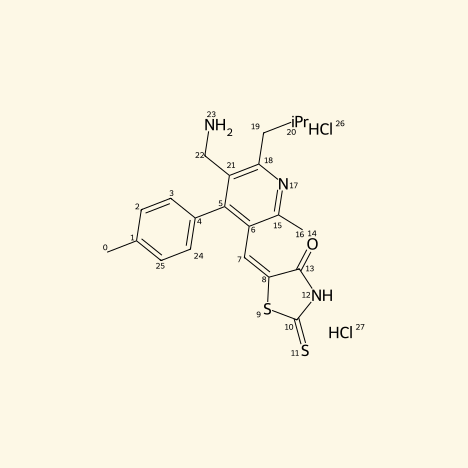 Cc1ccc(-c2c(/C=C3/SC(=S)NC3=O)c(C)nc(CC(C)C)c2CN)cc1.Cl.Cl